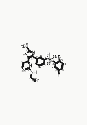 CC(C)CNc1nccc(-c2sc(C(C)(C)C)nc2-c2cccc(NS(=O)(=O)c3cc(F)ccc3F)c2)n1